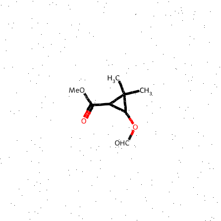 COC(=O)C1C(OC=O)C1(C)C